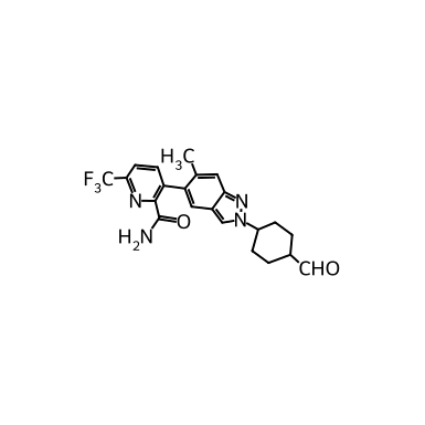 Cc1cc2nn(C3CCC(C=O)CC3)cc2cc1-c1ccc(C(F)(F)F)nc1C(N)=O